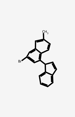 Cc1ccc2c(C3C=Cc4ccccc43)cc(Br)cc2c1